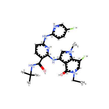 [2H]C([2H])([2H])NC(=O)c1ccc(Nc2ccc(F)cn2)nc1Nc1cn(C)c2c(F)cn(CC)c(=O)c12